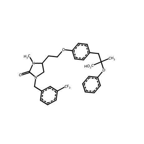 CN1C(=O)N(Cc2cccc(C(F)(F)F)c2)CC1CCOc1ccc(CC(C)(Oc2ccccc2)C(=O)O)cc1